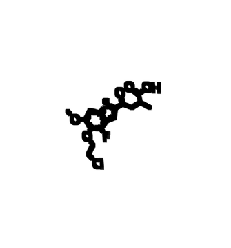 COc1cc2sc(C(=O)CC(C)C(=O)O)cc2c(F)c1OCCCl